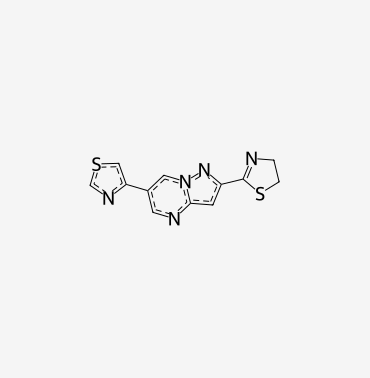 c1nc(-c2cnc3cc(C4=NCCS4)nn3c2)cs1